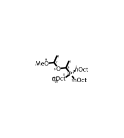 CCCCCCCC[P+](CCCCCCCC)(CCCCCCCC)C(C)OC(C)OC.[Cl-]